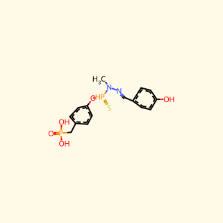 CN(/N=C/c1ccc(O)cc1)[PH](=S)Oc1ccc(CP(=O)(O)O)cc1